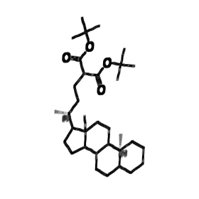 C[C@H](CCC(C(=O)OC(C)(C)C)C(=O)OC(C)(C)C)C1CCC2C3CCC4CCCC[C@]4(C)C3CCC21C